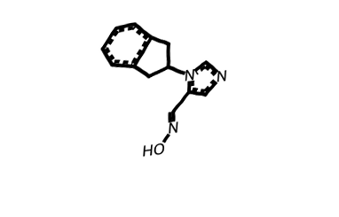 ON=Cc1cncn1C1Cc2ccccc2C1